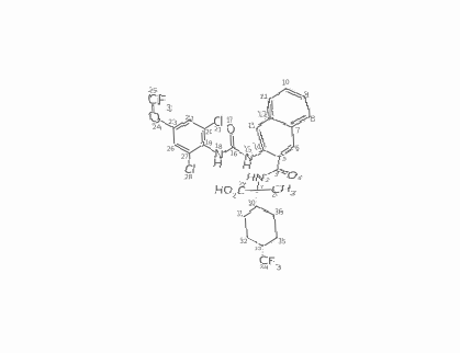 CC(NC(=O)c1cc2ccccc2cc1NC(=O)Nc1c(Cl)cc(OC(F)(F)F)cc1Cl)(C(=O)O)[C@H]1CC[C@@H](C(F)(F)F)CC1